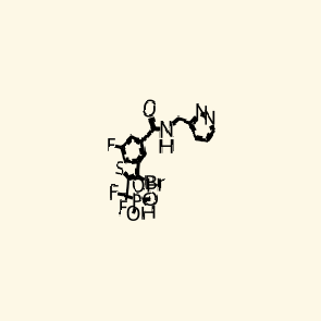 O=C(NCc1cccnn1)c1cc(F)c2sc(C(F)(F)P(=O)(O)O)c(Br)c2c1